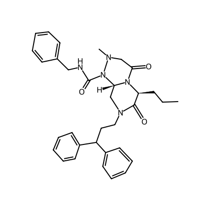 CCC[C@H]1C(=O)N(CCC(c2ccccc2)c2ccccc2)C[C@H]2N1C(=O)CN(C)N2C(=O)NCc1ccccc1